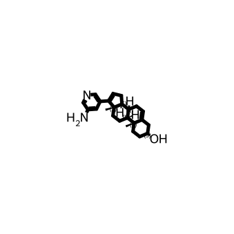 C[C@]12CC[C@H](O)CC1=CC[C@@H]1[C@@H]2CC[C@]2(C)C(c3cncc(N)c3)=CC[C@@H]12